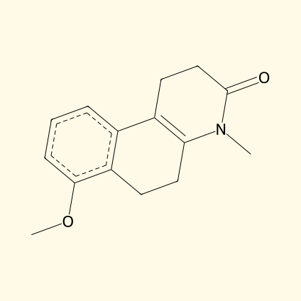 COc1cccc2c1CCC1=C2CCC(=O)N1C